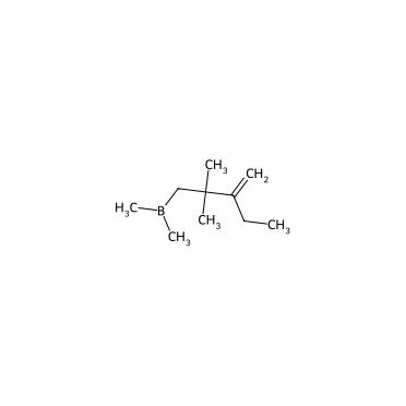 C=C(CC)C(C)(C)CB(C)C